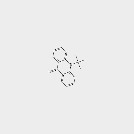 CC(C)(C)n1c2ccccc2c(=O)c2ccccc21